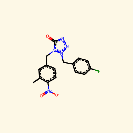 Cc1cc(Cn2c(=O)nnn2Cc2ccc(F)cc2)ccc1[N+](=O)[O-]